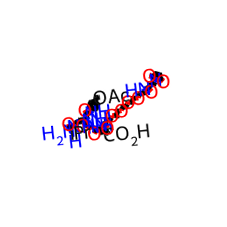 CC(=O)OCc1ccc(NC(=O)[C@H](CCCNC(N)=O)NC(=O)C(NC(=O)C(CCC(=O)O)NC(=O)CCOCCOCCOCCOCCNC(=O)CCN2C(=O)C=CC2=O)C(C)C)cc1